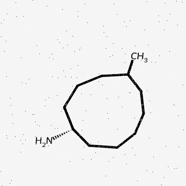 CC1CCCCC[C@H](N)CCC1